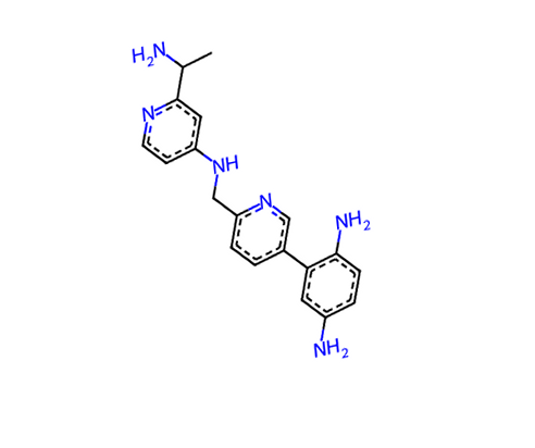 CC(N)c1cc(NCc2ccc(-c3cc(N)ccc3N)cn2)ccn1